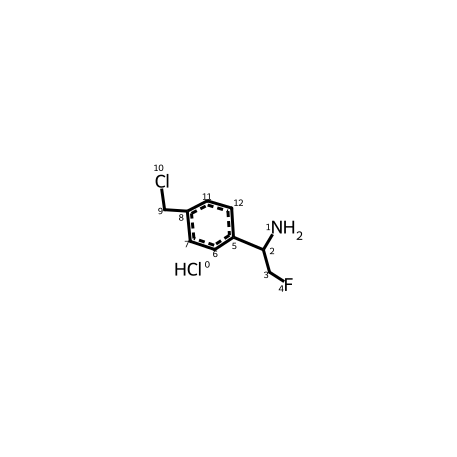 Cl.NC(CF)c1ccc(CCl)cc1